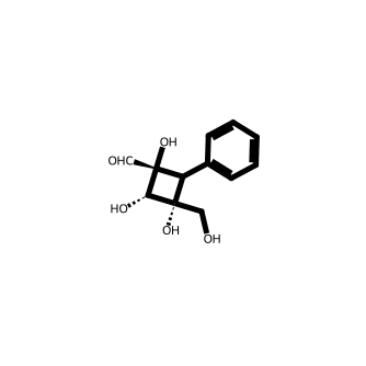 O=C[C@@]1(O)C(c2ccccc2)[C@@](O)(CO)[C@@H]1O